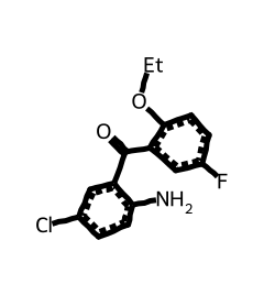 CCOc1ccc(F)cc1C(=O)c1cc(Cl)ccc1N